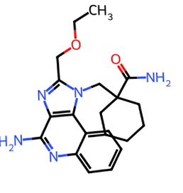 CCOCc1nc2c(N)nc3ccccc3c2n1CC1(C(N)=O)CCCCC1